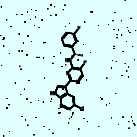 C[C@H](Nc1nc(-c2c[nH]c3ncc(Cl)cc23)ncc1F)c1cccc(F)c1